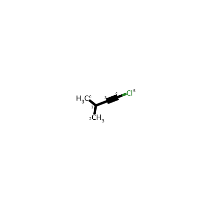 C[C](C)C#CCl